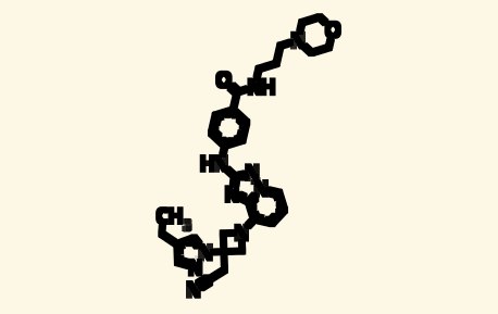 CCc1cnn(C2(CC#N)CN(c3cccn4nc(Nc5ccc(C(=O)NCCCN6CCOCC6)cc5)nc34)C2)c1